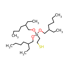 CCCCC(CC)CO[Si](CCS)(OCC(CC)CCCC)OCC(CC)CCCC